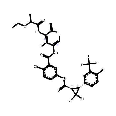 C=C(F)/C(NC(=O)C(C)OCC)=C(F)\C(=C/C)NC(=O)c1cc(NC(=O)[C@H]2[C@H](c3ccc(F)c(C(F)(F)F)c3)C2(Cl)Cl)ccc1Cl